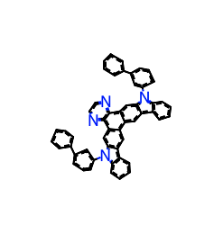 c1ccc(-c2cccc(-n3c4ccccc4c4cc5c6cc7c8ccccc8n(-c8cccc(-c9ccccc9)c8)c7cc6c6nccnc6c5cc43)c2)cc1